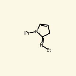 CC/N=C1\CC=CN1C(C)C